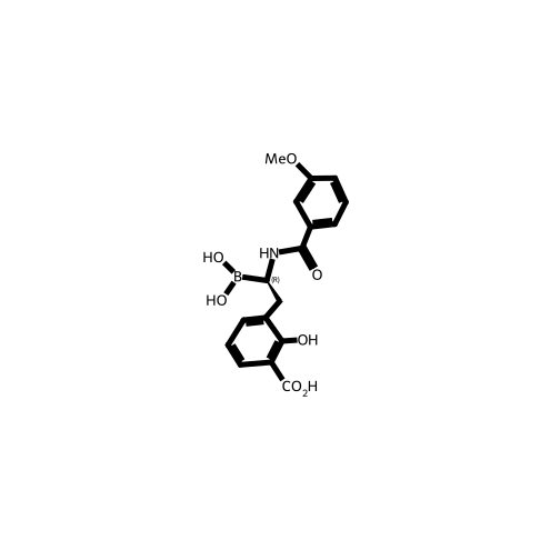 COc1cccc(C(=O)N[C@@H](Cc2cccc(C(=O)O)c2O)B(O)O)c1